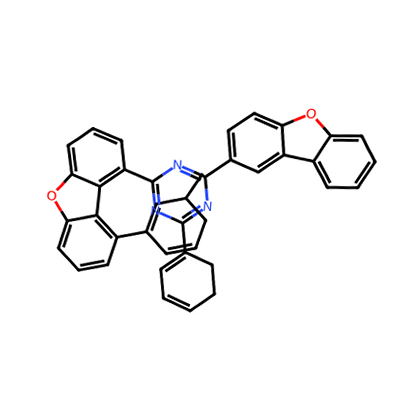 CC1C=C(c2cccc3oc4cccc(-c5nc(C6=CC=CCC6)nc(-c6ccc7oc8ccccc8c7c6)n5)c4c23)C=CC1